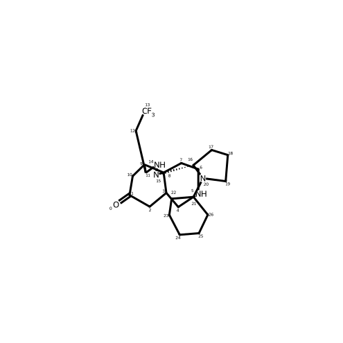 O=C1CC2CNCCC23C(C1)C(CC(F)(F)F)NN3[C@@H]1CCCN1C1CCCCC1